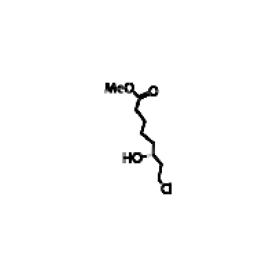 COC(=O)CCCC[C@@H](O)CCCl